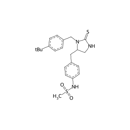 CC(C)(C)c1ccc(CN2C(=S)NCC2Cc2ccc(NS(C)(=O)=O)cc2)cc1